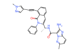 Cc1ccc2nc(N)c(C(=O)N[C@H](C)c3cc4cccc(C#Cc5cnn(C)c5)c4c(=O)n3-c3ccccc3)n2n1